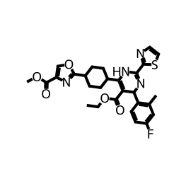 CCOC(=O)C1=C(C2CCC(c3nc(C(=O)OC)co3)CC2)NC(c2nccs2)=NC1c1ccc(F)cc1C